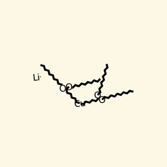 CCCCCCCCCCOC(CCCC[CH2][Cu][CH2]CCCCC(OCCCCCCCCCC)OCCCCCCCCCC)OCCCCCCCCCC.[Li]